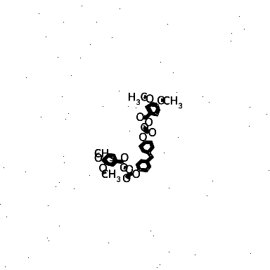 COc1ccc(C(=O)OOC(=O)OC2CCC(CC3CCC(OC(=O)OOC(=O)c4ccc(OC)c(OC)c4)CC3)CC2)cc1OC